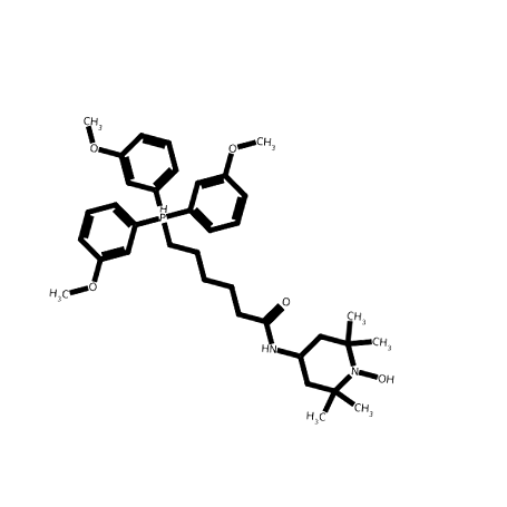 COc1cccc([PH](CCCCCC(=O)NC2CC(C)(C)N(O)C(C)(C)C2)(c2cccc(OC)c2)c2cccc(OC)c2)c1